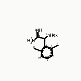 CCCCCCC(C(=N)N)c1c(C)cccc1C